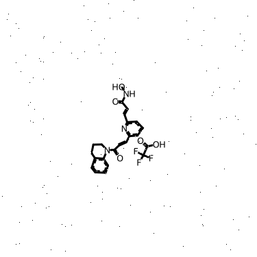 O=C(C=Cc1cccc(C=CC(=O)N2CCCc3ccccc32)n1)NO.O=C(O)C(F)(F)F